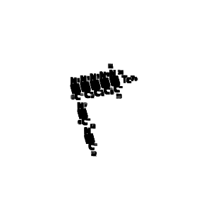 [C-]#N.[C-]#N.[C-]#N.[C-]#N.[C-]#N.[C-]#N.[C-]#N.[Tc+7]